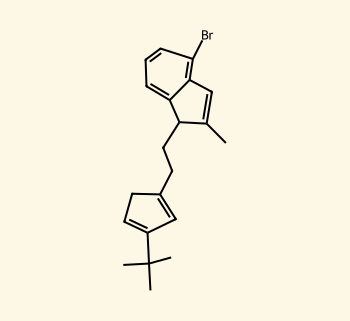 CC1=Cc2c(Br)cccc2C1CCC1=CC(C(C)(C)C)=CC1